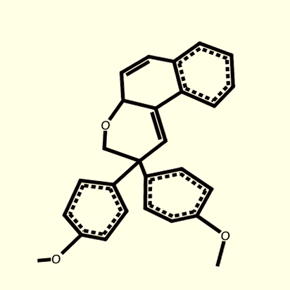 COc1ccc(C2(c3ccc(OC)cc3)C=C3c4ccccc4C=CC3OC2)cc1